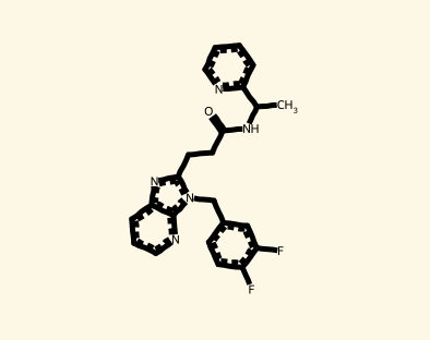 CC(NC(=O)CCc1nc2cccnc2n1Cc1ccc(F)c(F)c1)c1ccccn1